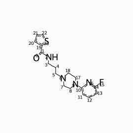 O=C(NCCCN1CCN(c2cccc(F)n2)CC1)c1cccs1